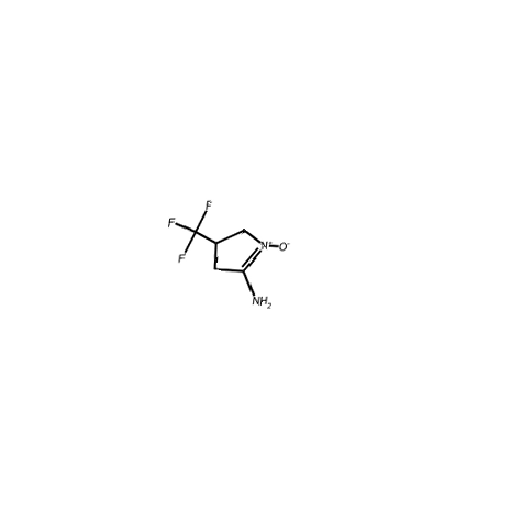 NC1=[N+]([O-])CC(C(F)(F)F)C1